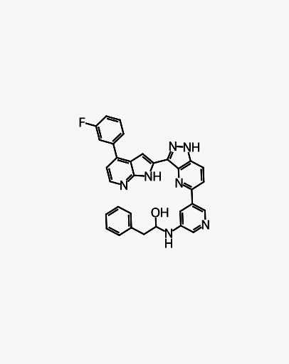 OC(Cc1ccccc1)Nc1cncc(-c2ccc3[nH]nc(-c4cc5c(-c6cccc(F)c6)ccnc5[nH]4)c3n2)c1